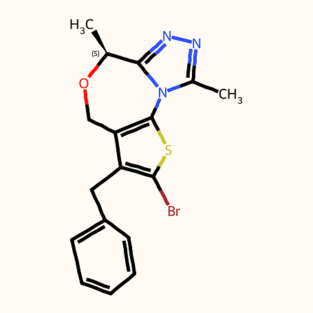 Cc1nnc2n1-c1sc(Br)c(Cc3ccccc3)c1CO[C@H]2C